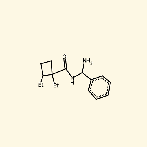 CCC1CCC1(CC)C(=O)NC(N)c1ccccc1